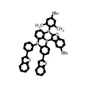 Cc1cc(C(C)(C)C)cc(C)c1N1c2cccc3c2B(c2ccc(-c4cc5ccccc5s4)cc2N3c2cccc(-c3cc4ccccc4s3)c2)c2c1oc1ccc(C(C)(C)C)cc21